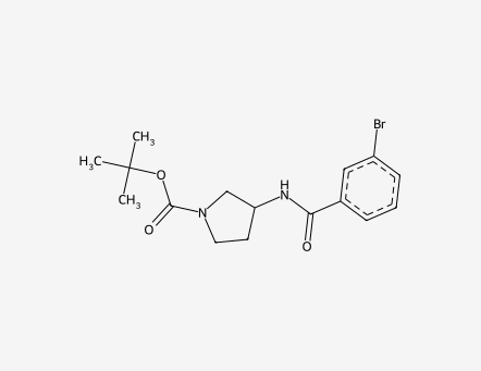 CC(C)(C)OC(=O)N1CCC(NC(=O)c2cccc(Br)c2)C1